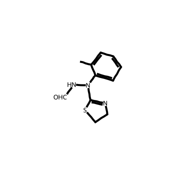 Cc1ccccc1N(NC=O)C1=NCCS1